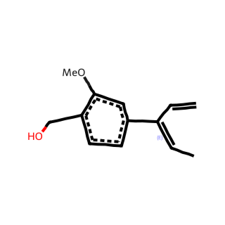 C=C/C(=C\C)c1ccc(CO)c(OC)c1